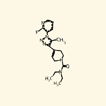 CCN(CC)C(=O)N1CC=C(c2nnn(-c3cccnc3F)c2C)CC1